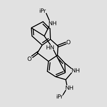 CC(C)NC1Nc2c3cc4c(c2NC3NC(C)C)C(=O)c2ccc1cc2C4=O